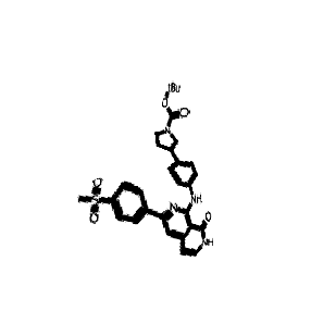 CC(C)(C)OC(=O)N1CCC(c2ccc(Nc3nc(-c4ccc(S(C)(=O)=O)cc4)cc4cc[nH]c(=O)c34)cc2)C1